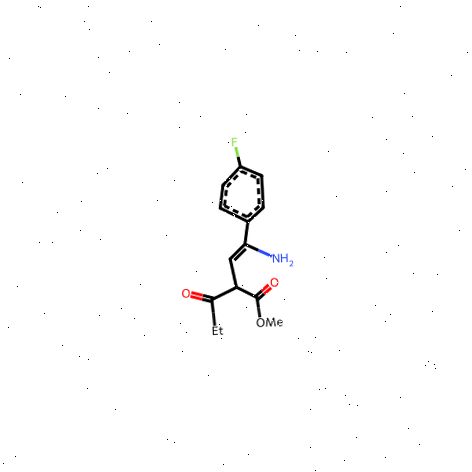 CCC(=O)C(C=C(N)c1ccc(F)cc1)C(=O)OC